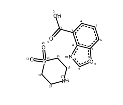 O=C(O)c1cccc2ocnc12.O=S1(=O)CCNCC1